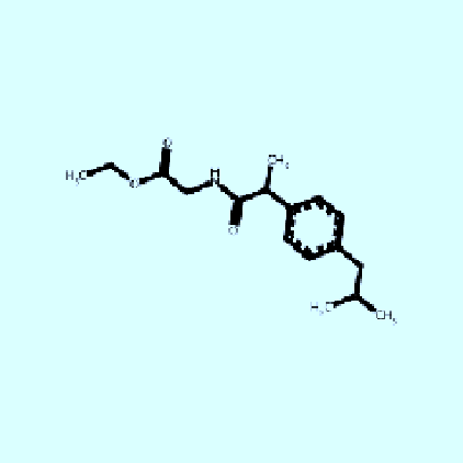 CCOC(=O)CNC(=O)C(C)c1ccc(CC(C)C)cc1